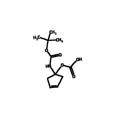 CC(C)(C)OC(=O)NC1(OC(=O)O)CC=CC1